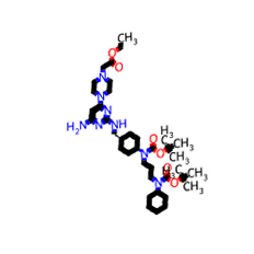 CCOC(=O)CN1CCN(c2cc(N)nc(NC[C@H]3CC[C@H](N(CCCN(C(=O)OC(C)(C)C)C4CCCCC4)C(=O)OC(C)(C)C)CC3)n2)CC1